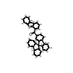 O=C(c1ccc2c(c1)C1(c3ccccc3-c3ccccc31)c1ccccc1-2)c1cccc2c1sc1ccccc12